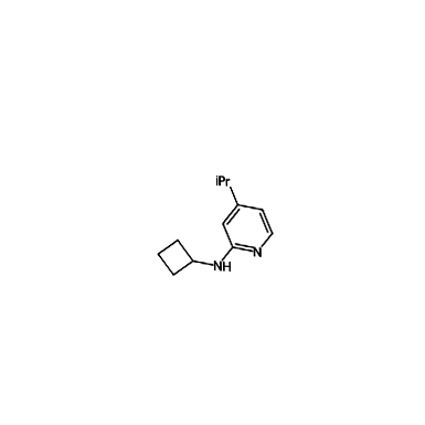 CC(C)c1ccnc(NC2CCC2)c1